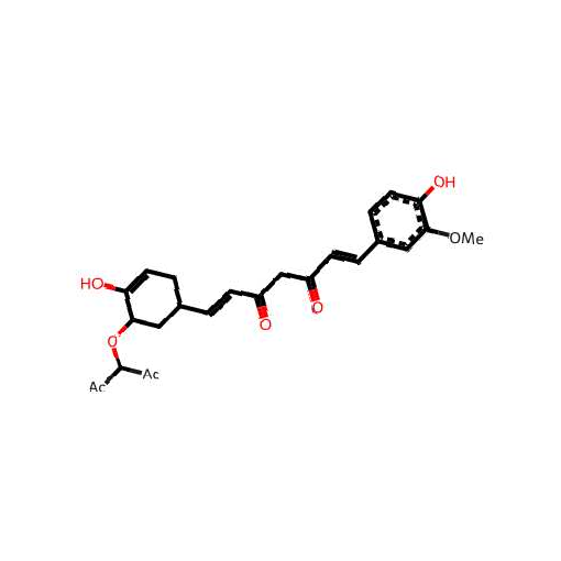 COc1cc(/C=C/C(=O)CC(=O)/C=C/C2CC=C(O)C(OC(C(C)=O)C(C)=O)C2)ccc1O